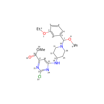 CCOc1cccc(C(OC(C)C)N2CCC(Nc3cc(C(=O)OC)nc(Cl)n3)CC2)c1